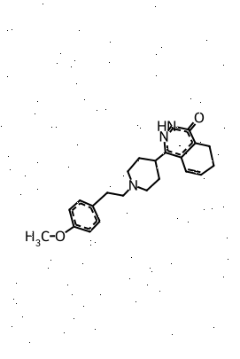 COc1ccc(CCN2CCC(c3n[nH]c(=O)c4c3C=CCC4)CC2)cc1